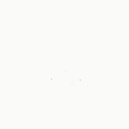 Cc1cc2c(c(N(c3ccccc3-c3cccc4oc5ccccc5c34)c3c4c(c(-c5c6c(cc(-c7ccccc7)c5-c5ccccc5)-c5ccccc5C6)c(-c5ccccc5)c3-c3ccccc3)-c3ccccc3C4)c1C)Cc1ccccc1-2